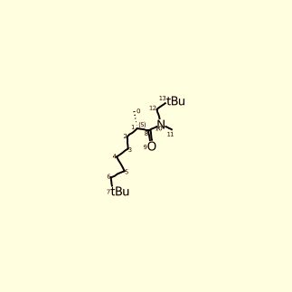 C[C@@H](CCCCCC(C)(C)C)C(=O)N(C)CC(C)(C)C